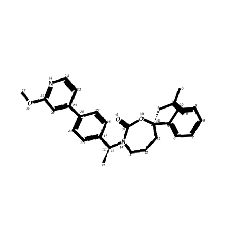 C=C(C)C[C@]1(c2ccccc2)CCCN([C@@H](C)c2ccc(-c3ccnc(OC)c3)cc2)C(=O)O1